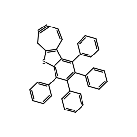 C1#CCc2sc3c(-c4ccccc4)c(-c4ccccc4)c(-c4ccccc4)c(-c4ccccc4)c3c2C=C1